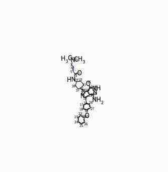 CN(C)C/C=C/C(=O)NC1CCC(n2nc(-c3ccc(Oc4ccccc4)cc3)c3c(N)n[nH]c(=O)c32)CC1